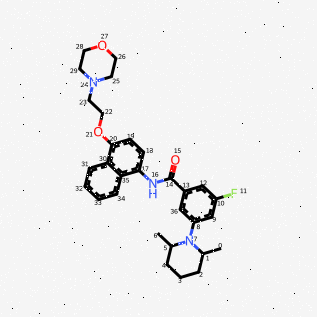 CC1CCCC(C)N1c1cc(F)cc(C(=O)Nc2ccc(OCCN3CCOCC3)c3ccccc23)c1